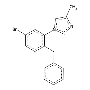 Cc1cn(-c2cc(Br)ccc2Cc2ccccc2)cn1